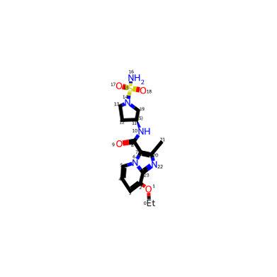 CCOc1cccn2c(C(=O)N[C@H]3CCN(S(N)(=O)=O)C3)c(C)nc12